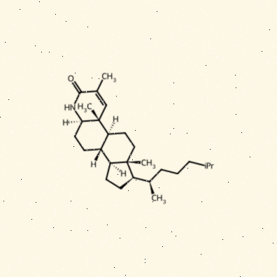 CC1=C[C@@]2(C)[C@@H](CC[C@@H]3[C@@H]2CC[C@]2(C)[C@@H]([C@H](C)CCCC(C)C)CC[C@@H]32)NC1=O